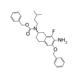 CC(C)CCN(C(=O)OCc1ccccc1)[C@@H]1CCc2cc(OCc3ccccc3)c(N)c(F)c2C1